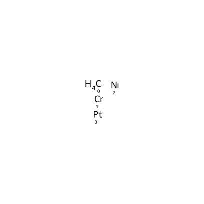 C.[Cr].[Ni].[Pt]